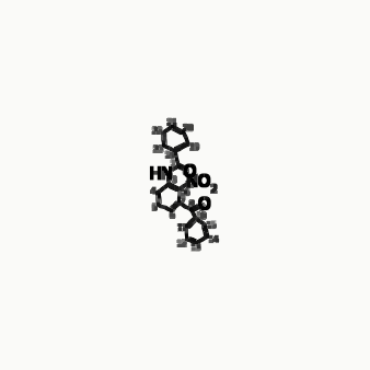 O=C(Nc1cccc(C(=O)c2ccccc2)c1[N+](=O)[O-])c1ccccc1